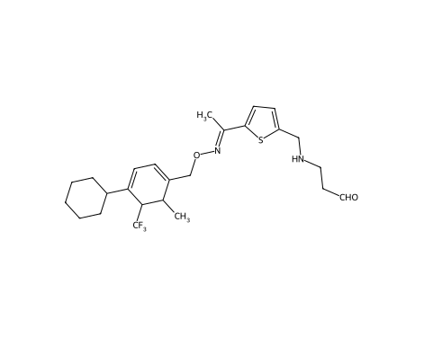 C/C(=N\OCC1=CC=C(C2CCCCC2)C(C(F)(F)F)C1C)c1ccc(CNCCC=O)s1